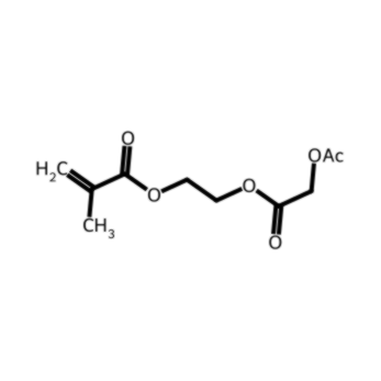 C=C(C)C(=O)OCCOC(=O)COC(C)=O